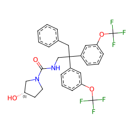 O=C(NCC(Cc1ccccc1)(c1cccc(OC(F)(F)F)c1)c1cccc(OC(F)(F)F)c1)N1CC[C@H](O)C1